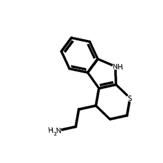 NCCC1CCSc2[nH]c3ccccc3c21